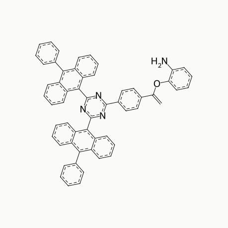 C=C(Oc1ccccc1N)c1ccc(-c2nc(-c3c4ccccc4c(-c4ccccc4)c4ccccc34)nc(-c3c4ccccc4c(-c4ccccc4)c4ccccc34)n2)cc1